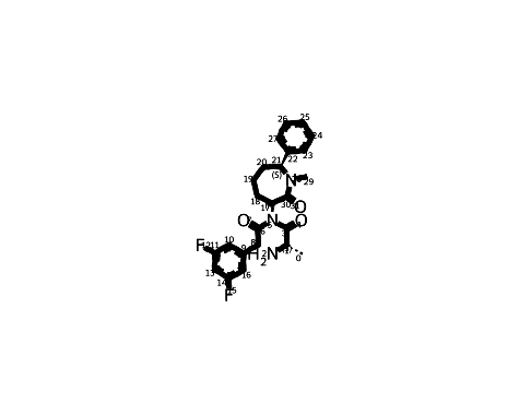 C[C@H](N)C(=O)N(C(=O)Cc1cc(F)cc(F)c1)[C@@H]1CCC[C@@H](c2ccccc2)N(C)C1=O